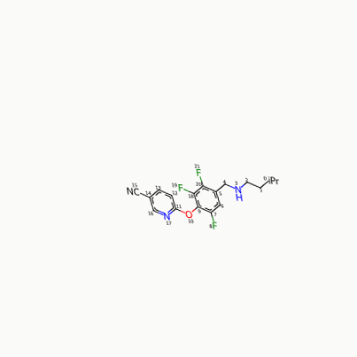 CC(C)CCNCc1cc(F)c(Oc2ccc(C#N)cn2)c(F)c1F